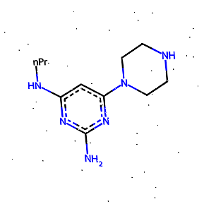 CCCNc1cc(N2CCNCC2)nc(N)n1